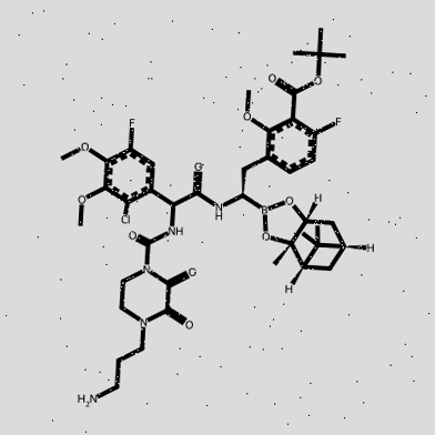 COc1c(F)cc(C(NC(=O)N2CCN(CCCN)C(=O)C2=O)C(=O)N[C@@H](Cc2ccc(F)c(C(=O)OC(C)(C)C)c2OC)B2O[C@@H]3C[C@@H]4C[C@@H](C4(C)C)[C@]3(C)O2)c(Cl)c1OC